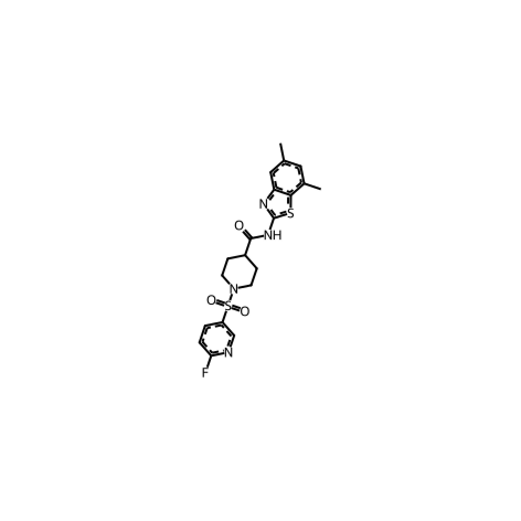 Cc1cc(C)c2sc(NC(=O)C3CCN(S(=O)(=O)c4ccc(F)nc4)CC3)nc2c1